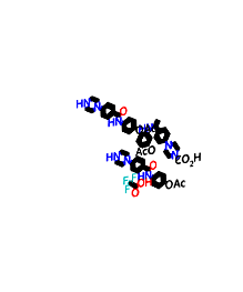 C=C(Nc1ccc(OC(C)=O)cc1)c1ccc(N2CCN(C(=O)O)CC2)cc1.CC(=O)Oc1ccc(NC(=O)c2ccc(N3CCNCC3)cc2)cc1.CC(=O)Oc1ccc(NC(=O)c2ccc(N3CCNCC3)cc2)cc1.O=C(O)C(F)(F)F